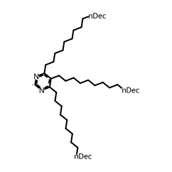 CCCCCCCCCCCCCCCCCCCc1n[c]nc(CCCCCCCCCCCCCCCCCCC)c1CCCCCCCCCCCCCCCCCCC